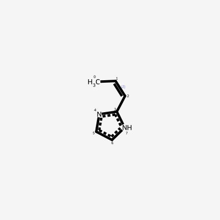 C/C=C\c1ncc[nH]1